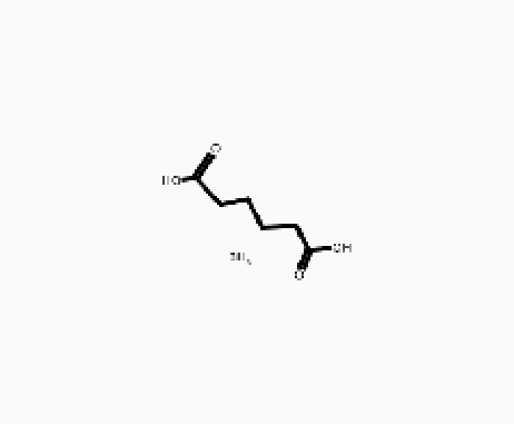 O=C(O)CCCCC(=O)O.[BiH3]